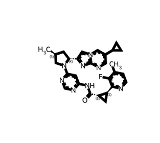 Cc1ccnc([C@H]2C[C@@H]2C(=O)Nc2cc(N3C[C@@H](C)C[C@@H]3c3cn4cc(C5CC5)cnc4n3)ncn2)c1F